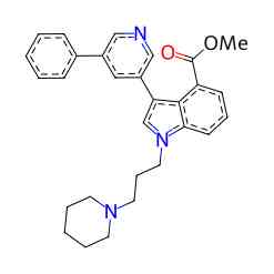 COC(=O)c1cccc2c1c(-c1cncc(-c3ccccc3)c1)cn2CCCN1CCCCC1